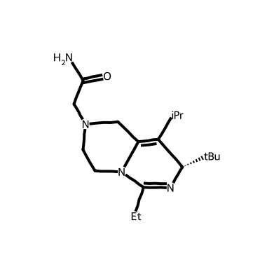 CCC1=N[C@@H](C(C)(C)C)C(C(C)C)=C2CN(CC(N)=O)CCN12